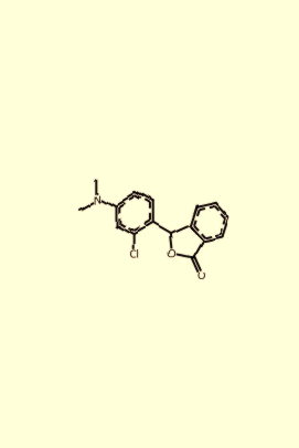 CN(C)c1ccc(C2OC(=O)c3ccccc32)c(Cl)c1